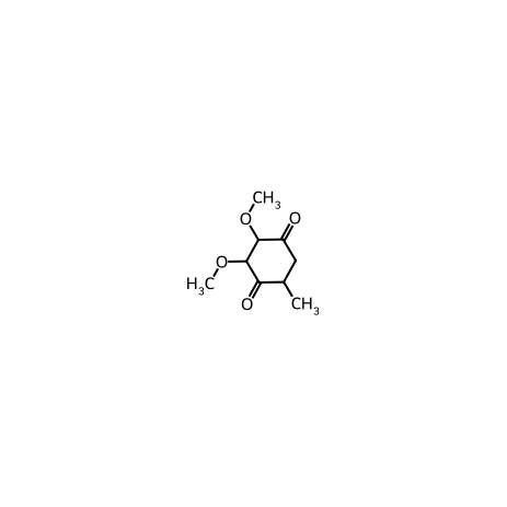 COC1C(=O)CC(C)C(=O)C1OC